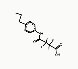 CCCc1ccc(NC(=O)C(F)(F)C(F)(F)C(=O)O)cc1